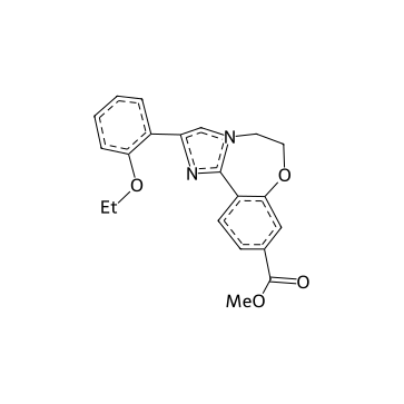 CCOc1ccccc1-c1cn2c(n1)-c1ccc(C(=O)OC)cc1OCC2